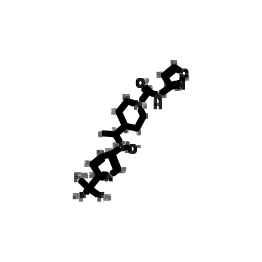 CC(C1CCN(C(=O)Nc2ccon2)CC1)[S+]([O-])c1ccc(C(F)(F)F)nc1